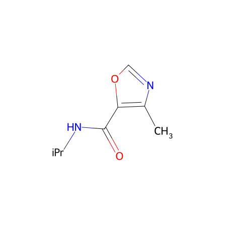 Cc1ncoc1C(=O)NC(C)C